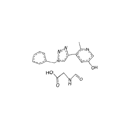 Cc1ncc(O)cc1-c1cn(Cc2ccccc2)nn1.O=CNCC(=O)O